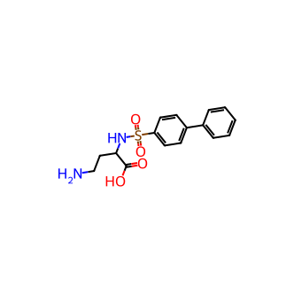 NCCC(NS(=O)(=O)c1ccc(-c2ccccc2)cc1)C(=O)O